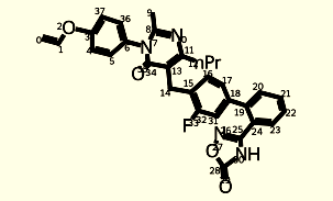 C=COc1ccc(-n2c(C)nc(CCC)c(Cc3ccc(-c4ccccc4-c4noc(=O)[nH]4)cc3F)c2=O)cc1